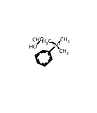 C[N+](C)(C)c1ccccc1.O=CO